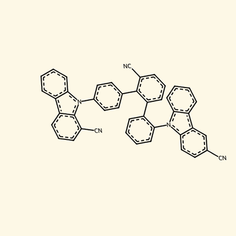 N#Cc1ccc2c(c1)c1ccccc1n2-c1ccccc1-c1cccc(C#N)c1-c1ccc(-n2c3ccccc3c3cccc(C#N)c32)cc1